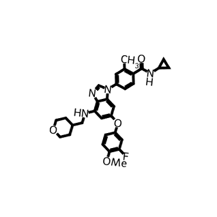 COc1ccc(Oc2cc(NCC3CCOCC3)c3ncn(-c4ccc(C(=O)NC5CC5)c(C)c4)c3c2)cc1F